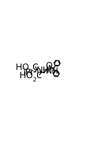 CC(C)CC(NC(CCNC(=O)C(c1ccccc1)c1ccccc1)C(=O)O)C(=O)O